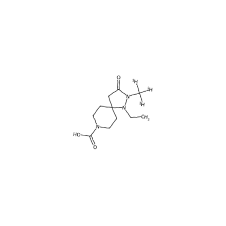 [2H]C([2H])([2H])N1C(=O)CC2(CCN(C(=O)O)CC2)N1CC